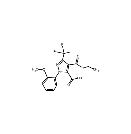 CCOC(=O)c1c(C(F)(F)F)nn(-c2ccccc2OC)c1C(=O)O